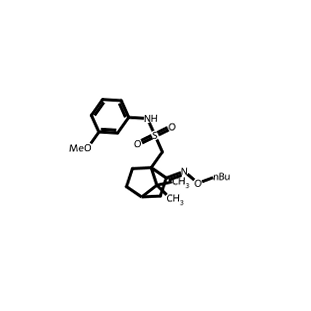 CCCCON=C1CC2CCC1(CS(=O)(=O)Nc1cccc(OC)c1)C2(C)C